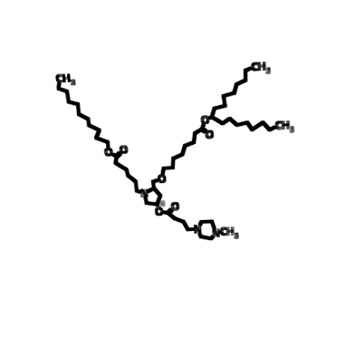 CCCCCCCCCCCOC(=O)CCCCCN1C[C@@H](OC(=O)CCCN2CCN(C)CC2)CC1COCCCCCCCC(=O)OC(CCCCCCCC)CCCCCCCC